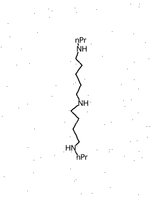 CCCNCCCCCNCCCCNCCC